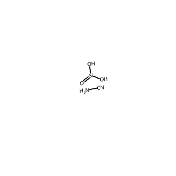 N#CN.O=[Si](O)O